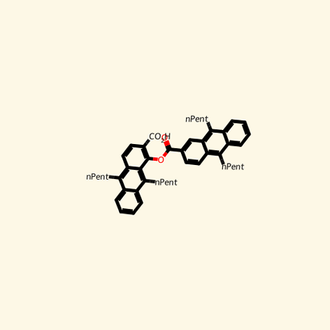 CCCCCc1c2ccccc2c(CCCCC)c2cc(C(=O)Oc3c(C(=O)O)ccc4c(CCCCC)c5ccccc5c(CCCCC)c34)ccc12